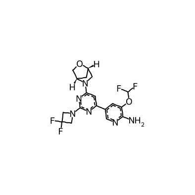 Nc1ncc(-c2cc(N3C[C@@H]4C[C@H]3CO4)nc(N3CC(F)(F)C3)n2)cc1OC(F)F